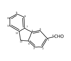 O=Cc1ccc2c(c1)-c1ccccc1C2